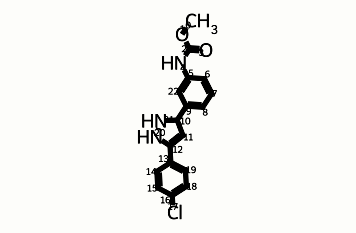 COC(=O)Nc1cccc(C2C=C(c3ccc(Cl)cc3)NN2)c1